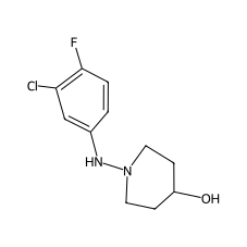 OC1CCN(Nc2ccc(F)c(Cl)c2)CC1